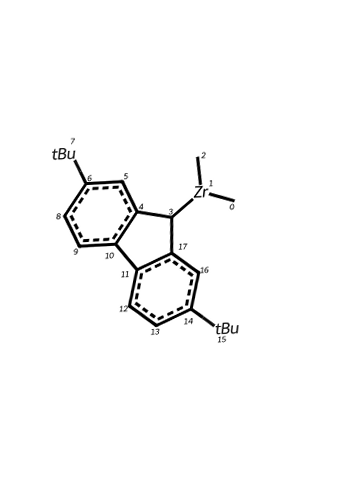 [CH3][Zr]([CH3])[CH]1c2cc(C(C)(C)C)ccc2-c2ccc(C(C)(C)C)cc21